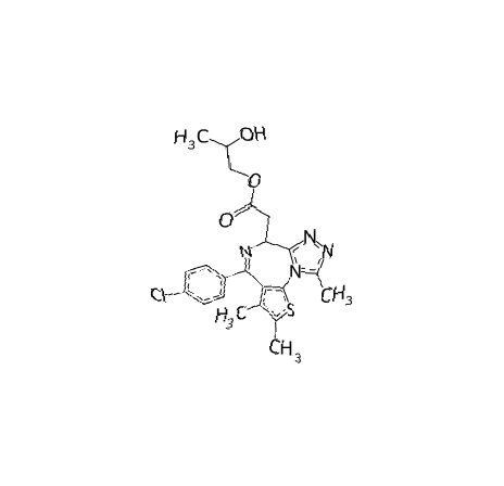 Cc1sc2c(c1C)C(c1ccc(Cl)cc1)=NC(CC(=O)OCC(C)O)c1nnc(C)n1-2